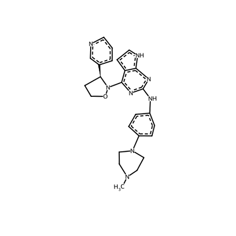 CN1CCN(c2ccc(Nc3nc(N4OCC[C@H]4c4cccnc4)c4cc[nH]c4n3)cc2)CC1